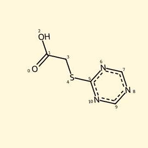 O=C(O)CSc1ncncn1